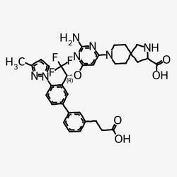 Cc1ccn(-c2ccc(-c3cccc(CCC(=O)O)c3)cc2[C@@H](Oc2cc(N3CCC4(CC3)CNC(C(=O)O)C4)nc(N)n2)C(F)(F)F)n1